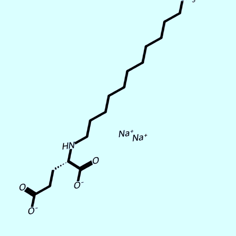 CCCCCCCCCCCCN[C@@H](CCC(=O)[O-])C(=O)[O-].[Na+].[Na+]